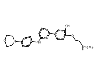 CSNCCOc1ccc(-c2ccnc(Nc3ccc(N4CCOCC4)cc3)n2)cc1C#N